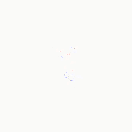 COc1nc(N)nc2c1ncn2C1O[C@H](CO[P@](=O)(N[C@@H](C)C(=O)OC(C)C)SCC2C(=O)NC(=O)N2C)[C@@H](O)[C@@]1(C)O